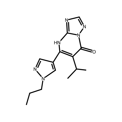 CCCn1cc(-c2[nH]c3ncnn3c(=O)c2C(C)C)cn1